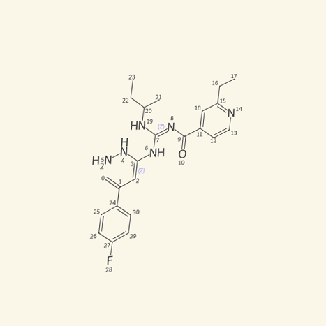 C=C(/C=C(\NN)N/C(=N\C(=O)c1ccnc(CC)c1)NC(C)CC)c1ccc(F)cc1